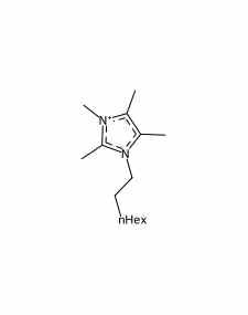 CCCCCCCCn1c(C)c(C)[n+](C)c1C